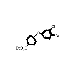 CCOC(=O)[C@H]1CC[C@@H](Oc2ccc(C(C)=O)c(Cl)c2)CC1